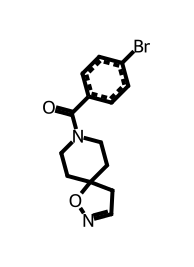 O=C(c1ccc(Br)cc1)N1CCC2(CC=NO2)CC1